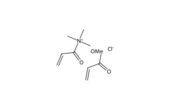 C=CC(=O)OC.C=CC(=O)[N+](C)(C)C.[Cl-]